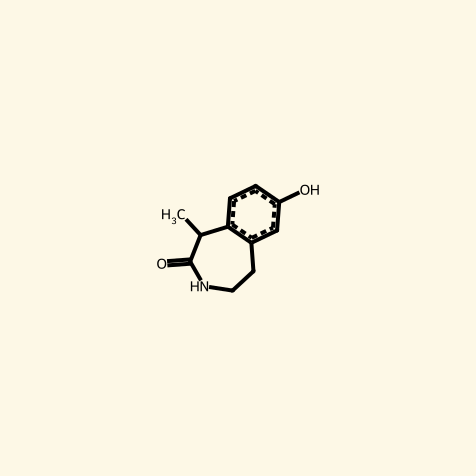 CC1C(=O)NCCc2cc(O)ccc21